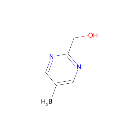 Bc1cnc(CO)nc1